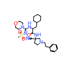 CS(=O)(=O)/N=C(/NC(CC1CCCCC1)C(=O)NC1(C#N)CCN(CCc2ccccc2)C1)N1CCOCC1